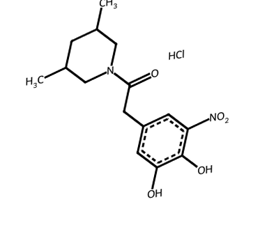 CC1CC(C)CN(C(=O)Cc2cc(O)c(O)c([N+](=O)[O-])c2)C1.Cl